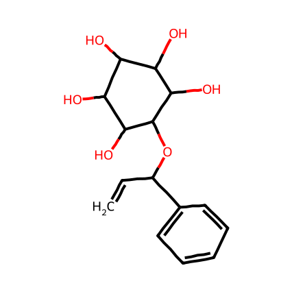 C=CC(OC1C(O)C(O)C(O)C(O)C1O)c1ccccc1